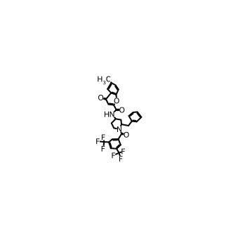 Cc1ccc2oc(C(=O)NC3CCN(C(=O)c4cc(C(F)(F)F)cc(C(F)(F)F)c4)C(Cc4ccccc4)C3)cc(=O)c2c1